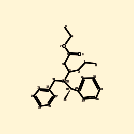 CCCC(CC(=O)OCC)N(Cc1ccccc1)[C@@H](C)c1ccccc1